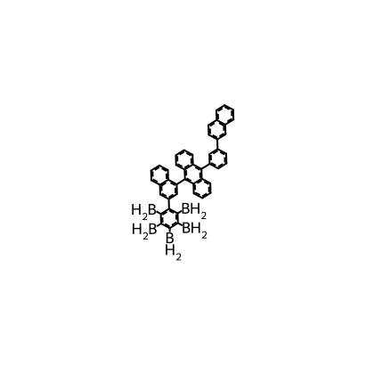 Bc1c(B)c(B)c(-c2cc(-c3c4ccccc4c(-c4cccc(-c5ccc6ccccc6c5)c4)c4ccccc34)c3ccccc3c2)c(B)c1B